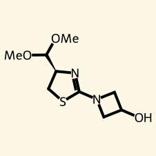 COC(OC)[C@@H]1CSC(N2CC(O)C2)=N1